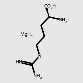 N=C(N)NCCC[C@H](N)C(=O)O.[MgH2]